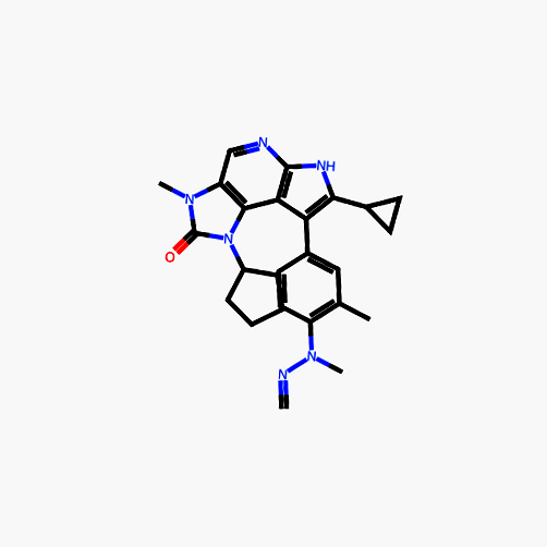 C=NN(C)c1ccc(-c2c(C3CC3)[nH]c3ncc4c(c23)n(C2CCCC2)c(=O)n4C)cc1C